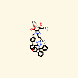 CCCc1nc(C(C)(O)CC)c(C(=O)OCC)n1Cc1ccc(-c2ccccc2-c2nnnn2C(c2ccccc2)(c2ccccc2)c2ccccc2)cc1